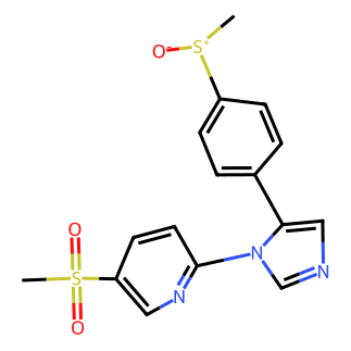 C[S+]([O-])c1ccc(-c2cncn2-c2ccc(S(C)(=O)=O)cn2)cc1